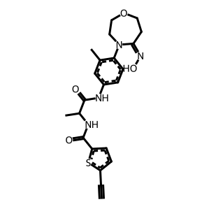 C#Cc1ccc(C(=O)NC(C)C(=O)Nc2ccc(N3CCOCC/C3=N/O)c(C)c2)s1